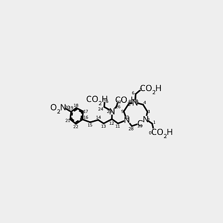 O=C(O)CN1CCN(CC(=O)O)CCN(CC(CCCc2ccc([N+](=O)[O-])cc2)N(CC(=O)O)CC(=O)O)CC1